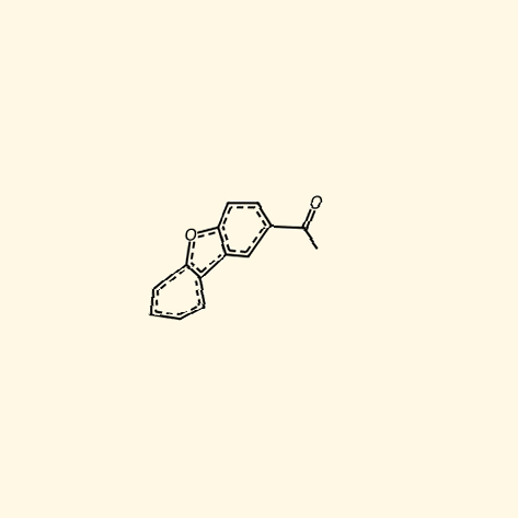 CC(=O)c1ccc2oc3ccccc3c2c1